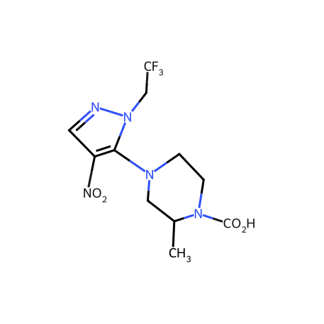 CC1CN(c2c([N+](=O)[O-])cnn2CC(F)(F)F)CCN1C(=O)O